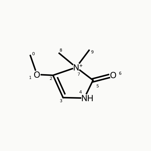 COC1=CNC(=O)[N+]1(C)C